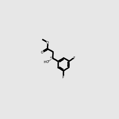 COC(=O)C[C@@H](O)c1cc(F)cc(F)c1